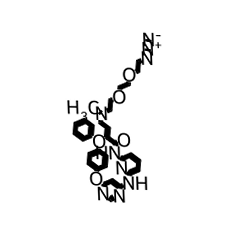 CN(C/C=C/C(=O)Nc1cccc(Nc2cc(Oc3ccc(Oc4ccccc4)cc3)ncn2)n1)CCOCCOCCN=[N+]=[N-]